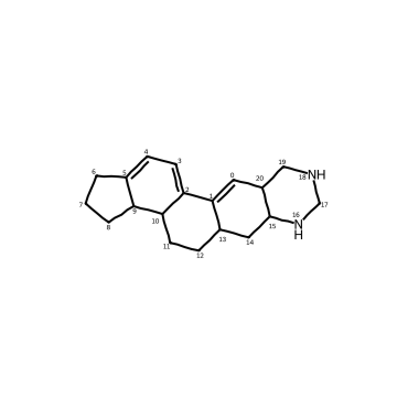 C1=C2C3=CC=C4CCCC4C3CCC2CC2NCNCC12